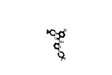 O=C(Nc1cccc(N2CCC(F)(F)CC2)n1)c1ccc(Br)cc1N1CCC2(CC1)CC2